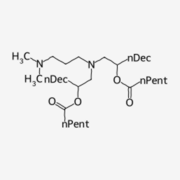 CCCCCCCCCCC(CN(CCCN(C)C)CC(CCCCCCCCCC)OC(=O)CCCCC)OC(=O)CCCCC